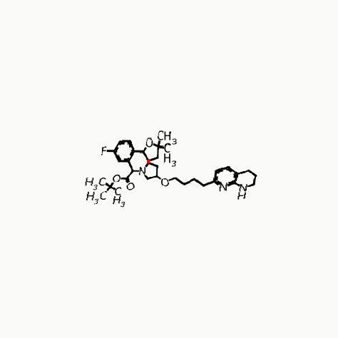 CC(C)(C)OC(=O)C(c1cc(F)ccc1C1CCC(C)(C)O1)N1CCC(OCCCCc2ccc3c(n2)NCCC3)C1